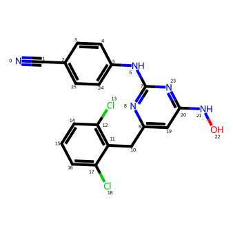 N#Cc1ccc(Nc2nc(Cc3c(Cl)cccc3Cl)cc(NO)n2)cc1